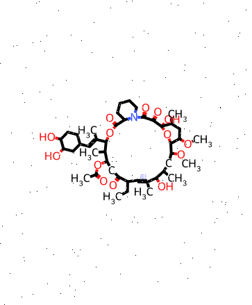 CCC1/C=C(\C)C(O)C(C)CC(OC)C2OC(O)(C(=O)C(=O)N3CCCCC3C(=O)OC(C(C)=CC3CCC(O)C(O)C3)C(C)C(OC(C)=O)CC1=O)C(C)CC2OC